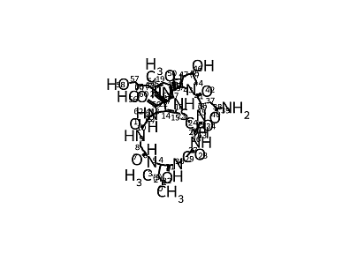 CC[C@H](C)C1NC(=O)CNC(=O)[C@@H]2Cc3c([nH]c4ccccc34)SC[C@H](NC(=O)CNC1=O)C(=O)N[C@@H](CC(N)=O)C(=O)N1C[C@H](O)C[C@H]1C(=O)N[C@@H]([C@@H](C)[C@@H](O)CO)C(=O)N2